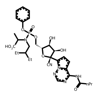 CCCC(=O)Nc1ncnn2c([C@]3(C#N)O[C@H](COP(=O)(Oc4ccccc4)N(CC(CC)CC)C(C)C(=O)O)[C@@H](O)[C@H]3O)ccc12